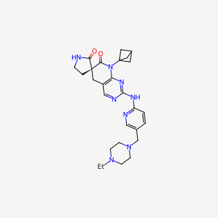 CCN1CCN(Cc2ccc(Nc3ncc4c(n3)N(C35CC(C3)C5)C(=O)[C@]3(CCNC3=O)C4)nc2)CC1